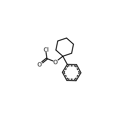 O=C(Cl)OC1(c2ccccc2)CCCCC1